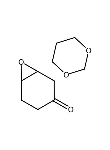 C1COCOC1.O=C1CCC2OC2C1